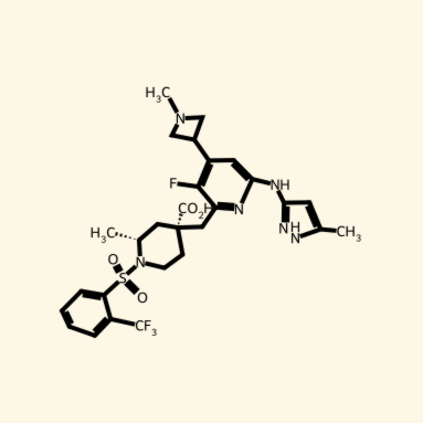 Cc1cc(Nc2cc(C3CN(C)C3)c(F)c(C[C@@]3(C(=O)O)CCN(S(=O)(=O)c4ccccc4C(F)(F)F)[C@H](C)C3)n2)n[nH]1